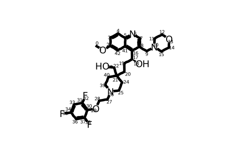 COc1ccc2ncc(CN3CCOCC3)c([C@@H](O)CCC3(CO)CCN(CCOc4c(F)cc(F)cc4F)CC3)c2c1